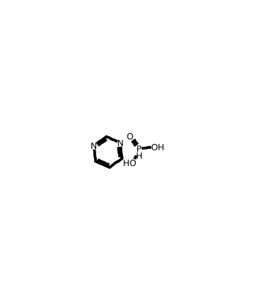 O=[PH](O)O.c1cncnc1